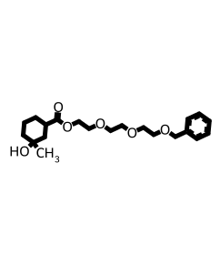 CC1(O)CCCC(C(=O)OCCOCCOCCOCc2ccccc2)C1